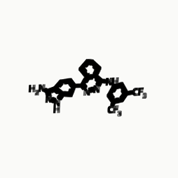 Nc1n[nH]c2cc(-c3nnc(Nc4cc(C(F)(F)F)cc(C(F)(F)F)c4)c4ccccc34)ccc12